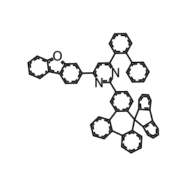 c1ccc(-c2ccccc2-c2cc(-c3ccc4c(c3)oc3ccccc34)nc(-c3ccc4c(c3)-c3ccccc3-c3ccccc3C43c4ccccc4-c4ccccc43)n2)cc1